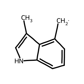 [CH2]c1cccc2[nH]cc(C)c12